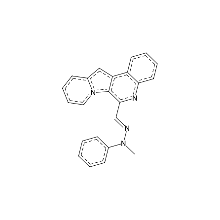 CN(/N=C/c1nc2ccccc2c2cc3ccccn3c12)c1ccccc1